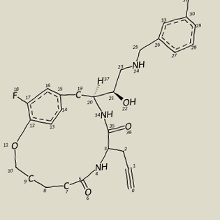 C#CCC1NC(=O)CCCCOc2ccc(cc2F)C[C@@H]([C@H](O)CNCc2cccc(CC)c2)NC1=O